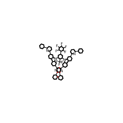 Fc1c(F)c(F)c(-c2cc(-n3c4cc(-c5cccc(-c6ccccc6)n5)ccc4c4ccc(-c5cccc(-c6ccccc6)n5)cc43)c(C(F)(F)F)c(-n3c4cc(-c5cccc(-c6ccccc6)n5)ccc4c4ccc(-c5cccc(-c6ccccc6)n5)cc43)c2)c(F)c1F